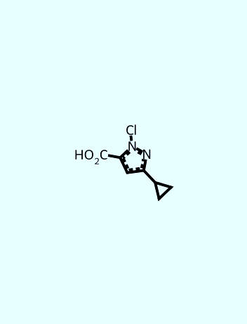 O=C(O)c1cc(C2CC2)nn1Cl